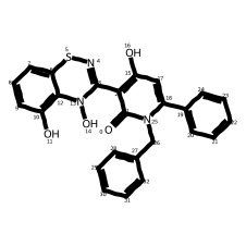 O=c1c(C2=NSc3cccc(O)c3N2O)c(O)cc(-c2ccccc2)n1Cc1ccccc1